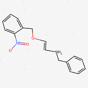 O=[N+]([O-])c1ccccc1COC=C[SiH2]Cc1ccccc1